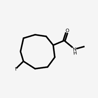 CNC(=O)C1CCCCC(I)CCC1